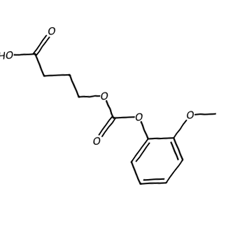 COc1ccccc1OC(=O)OCCCC(=O)O